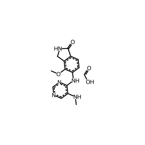 CNc1cncnc1Nc1ccc2c(c1OC)CNC2=O.O=CO